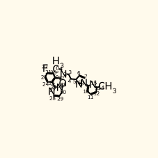 CCN(CCc1ccn(-c2cccc(C)n2)n1)C(=O)c1cc(F)ccc1-c1ncccn1